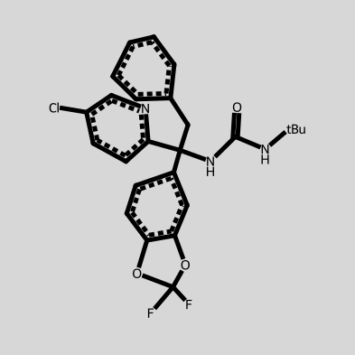 CC(C)(C)NC(=O)NC(Cc1ccccc1)(c1ccc2c(c1)OC(F)(F)O2)c1ccc(Cl)cn1